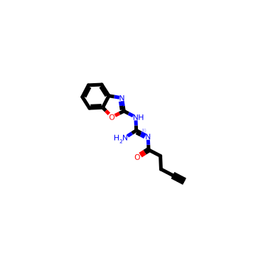 C#CCCC(=O)/N=C(\N)Nc1nc2ccccc2o1